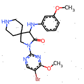 COc1cccc(NC2C(=O)N(c3ncc(Br)c(OC)n3)CC23CCNCC3)c1